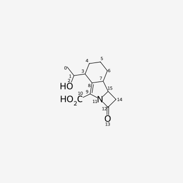 CC(O)C1CCCC2C1=C(C(=O)O)N1C(=O)CC21